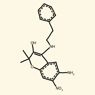 CC1(C)Oc2cc([N+](=O)[O-])c(N)cc2C(NCCc2ccccc2)=C1O